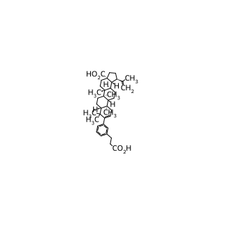 C=C(C)[C@@H]1CC[C@]2(C(=O)O)CC[C@]3(C)[C@H](CC[C@@H]4[C@@]5(C)CC=C(c6cccc(CCC(=O)O)c6)C(C)(C)[C@@H]5CC[C@]43C)[C@@H]12